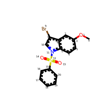 COc1ccc2c(c1)c(Br)cn2S(=O)(=O)c1ccccc1